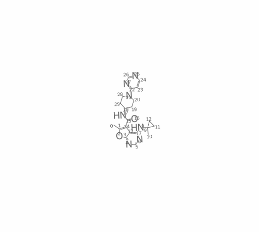 Cc1oc2ncnc(NC3(C)CC3)c2c1C(=O)NC1CCN(c2ccncn2)CC1